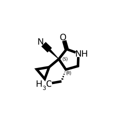 CC[C@H]1CNC(=O)[C@@]1(C#N)C1CC1